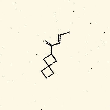 O=C(/C=C/I)C1CC2(CCC2)C1